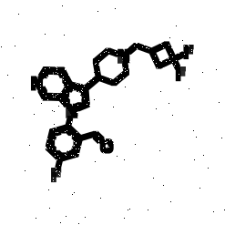 O=Cc1cc(F)ccc1-n1cc(C2CCN(CC3CC(F)(F)C3)CC2)c2ccncc21